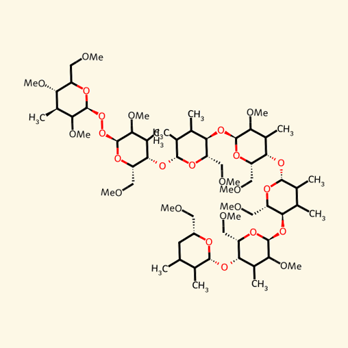 COCC1O[C@@H](OO[C@@H]2O[C@@H](COC)[C@@H](O[C@H]3O[C@@H](COC)[C@H](O[C@@H]4O[C@@H](COC)[C@@H](O[C@H]5O[C@@H](COC)[C@H](O[C@@H]6O[C@@H](COC)[C@@H](O[C@H]7O[C@@H](COC)CC(C)C7C)C(C)C6OC)C(C)C5C)C(C)C4OC)C(C)C3C)C(C)C2OC)C(OC)[C@@H](C)[C@@H]1OC